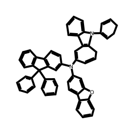 C1=C=CC2=C(C=1)c1ccc(N(C3=Cc4c(n(C5=CCCC=C5)c5ccccc45)CC=C3)c3ccc4c(c3)oc3ccccc34)cc1C2(c1ccccc1)c1ccccc1